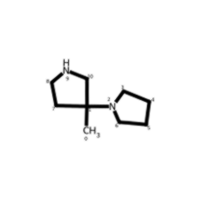 CC1(N2CCCC2)CCNC1